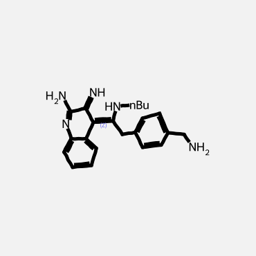 CCCCN/C(Cc1ccc(CN)cc1)=C1\C(=N)C(N)=Nc2ccccc21